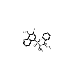 C[C@H](c1ccccc1)N(C)S(=O)(=O)c1cc(F)c(O)c2ncccc12